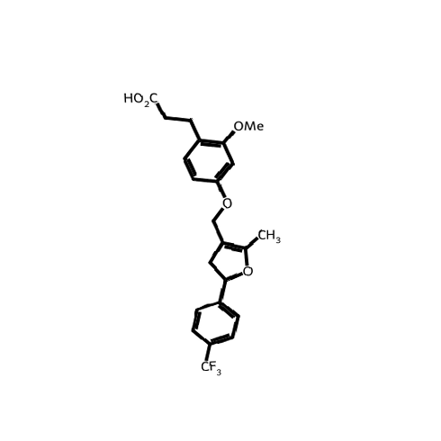 COc1cc(OCC2=C(C)OC(c3ccc(C(F)(F)F)cc3)C2)ccc1CCC(=O)O